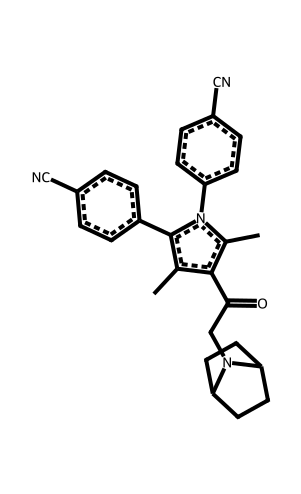 Cc1c(C(=O)CN2C3CCC2CC3)c(C)n(-c2ccc(C#N)cc2)c1-c1ccc(C#N)cc1